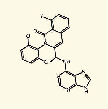 C[C@H](Nc1ncnc2[nH]cnc12)c1cc2cccc(F)c2c(=O)n1-c1c(Cl)cccc1Cl